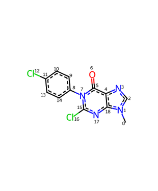 Cn1cnc2c(=O)n(-c3ccc(Cl)cc3)c(Cl)nc21